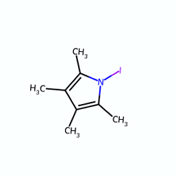 Cc1c(C)c(C)n(I)c1C